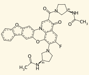 CC(=O)N[C@@H]1CCN(C(=O)c2cn3c4c(c(N5CC[C@@H](NC(C)=O)C5)c(F)cc4c2=O)Oc2cc4c(cc2-3)oc2ccccc24)C1